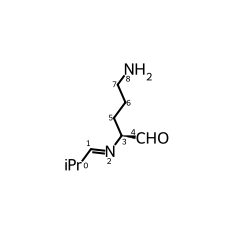 CC(C)/C=N/[C@H](C=O)CCCN